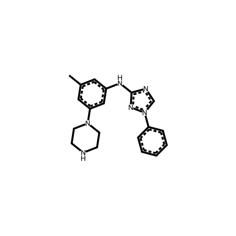 Cc1cc(Nc2ncn(-c3ccccc3)n2)cc(N2CCNCC2)c1